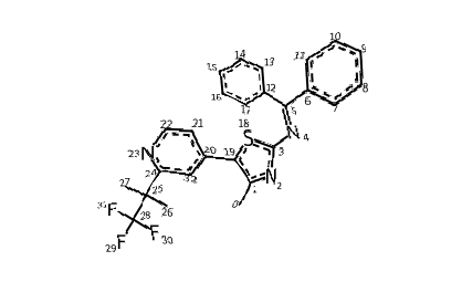 Cc1nc(N=C(c2ccccc2)c2ccccc2)sc1-c1ccnc(C(C)(C)C(F)(F)F)c1